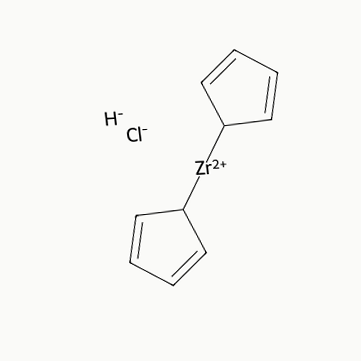 C1=C[CH]([Zr+2][CH]2C=CC=C2)C=C1.[Cl-].[H-]